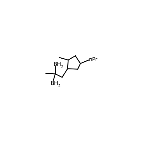 BC(B)(C)CC1CC(CCC)CC1C